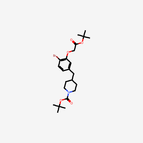 CC(C)(C)OC(=O)COc1cc(CC2CCN(C(=O)OC(C)(C)C)CC2)ccc1Br